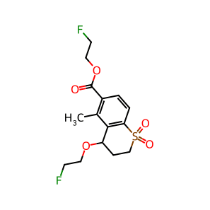 Cc1c(C(=O)OCCF)ccc2c1C(OCCF)CCS2(=O)=O